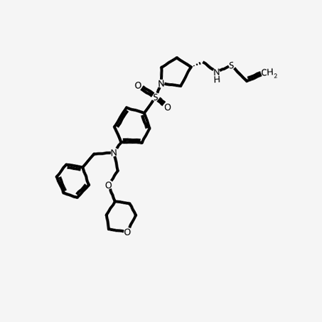 C=CSNC[C@H]1CCN(S(=O)(=O)c2ccc(N(COC3CCOCC3)Cc3ccccc3)cc2)C1